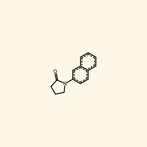 O=C1CCCN1c1ccc2ccccc2c1